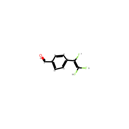 O=Cc1ccc(C(F)=C(F)F)cc1